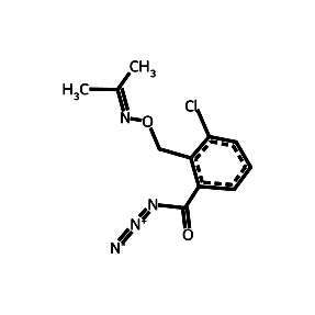 CC(C)=NOCc1c(Cl)cccc1C(=O)N=[N+]=[N-]